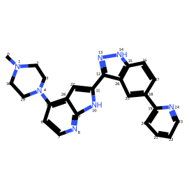 CN1CCN(c2ccnc3[nH]c(-c4n[nH]c5ccc(-c6ccccn6)cc45)cc23)CC1